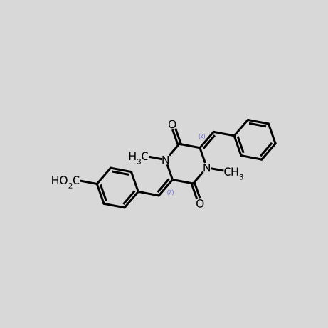 Cn1c(=O)/c(=C/c2ccc(C(=O)O)cc2)n(C)c(=O)/c1=C/c1ccccc1